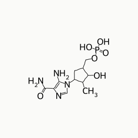 CC1C(O)C(COP(=O)(O)O)CC1n1cnc(C(N)=O)c1N